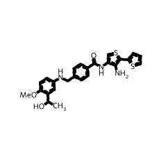 COc1ccc(NCc2ccc(C(=O)Nc3csc(-c4cccs4)c3N)cc2)cc1C(C)O